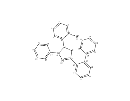 CC(C)c1ccccc1C1CC(c2ccccc2-c2ccccc2)=NN1c1ccccc1